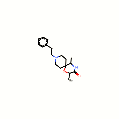 CCCCC1OC2(CCN(CCc3ccccc3)CC2)C(C)NC1=O